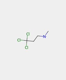 C[N]CCC(Cl)(Cl)Cl